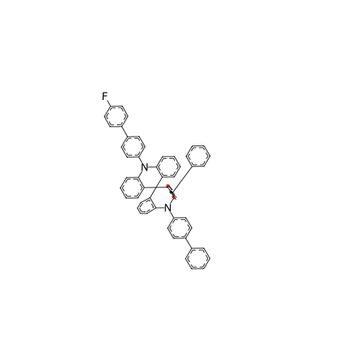 Fc1ccc(-c2ccc(N3c4ccccc4C4(c5ccccc53)c3ccccc3N(c3ccc(-c5ccccc5)cc3)c3ccc(-c5ccccc5)cc34)cc2)cc1